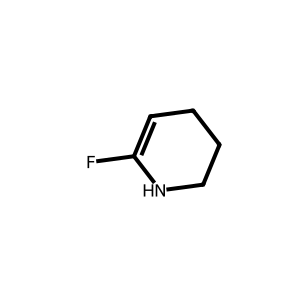 FC1=CCCCN1